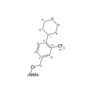 CNOCc1ccc(C2CCCCC2)c(C(F)(F)F)c1